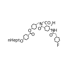 CCCCCCCOc1ccc(C(=O)Oc2ccc(CN(CC(=O)O)C(=O)c3ccc(NC(=O)Cc4ccc(F)cc4)cc3)cc2)cc1